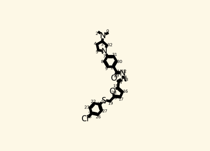 CN(C)C1CCN(c2ccc(-c3nnc(-c4ccc(CSc5ccc(Cl)cc5)o4)o3)cc2)C1